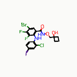 O=C(NOCC1(O)CCC1)c1cc(Br)c(F)c(F)c1Nc1ccc(I)cc1Cl